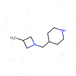 CC1CN(CC2CCNCC2)C1